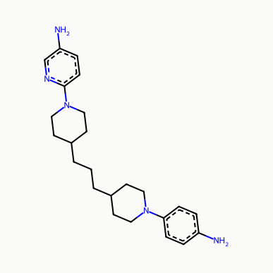 Nc1ccc(N2CCC(CCCC3CCN(c4ccc(N)cn4)CC3)CC2)cc1